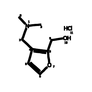 CN(C)Cc1ccoc1CO.Cl